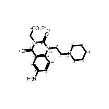 CCOC(=O)Cn1c(=O)c2cc(N)ccc2n(CCN2CCCCC2)c1=O